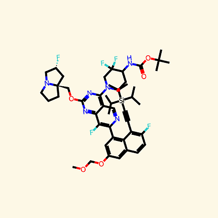 COCOc1cc(-c2ncc3c(N4CCC(NC(=O)OC(C)(C)C)C(F)(F)C4)nc(OC[C@@]45CCCN4C[C@H](F)C5)nc3c2F)c2c(C#C[Si](C(C)C)(C(C)C)C(C)C)c(F)ccc2c1